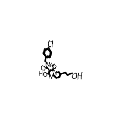 O=C(NCc1ccc(Cl)cc1)c1c(O)nc2ccc(CCCO)cn2c1=O